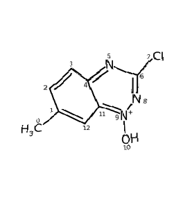 Cc1ccc2nc(Cl)n[n+](O)c2c1